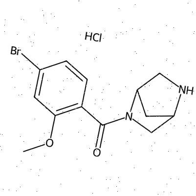 COc1cc(Br)ccc1C(=O)N1CC2CC1CN2.Cl